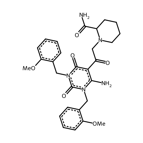 COc1ccccc1Cn1c(N)c(C(=O)CN2CCCCC2C(N)=O)c(=O)n(Cc2ccccc2OC)c1=O